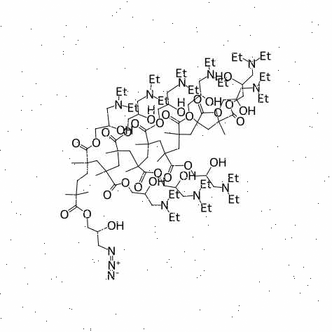 CCN(CC)CC(O)COC(=O)C(C)(C)CC(C)(CC(C)(CC(C)(CC(C)(CC(C)(CC(C)(CC(C)(CC(C)(CCC(C)(C)C(=O)OCC(O)CN=[N+]=[N-])C(=O)OCC(O)CN(CC)CC)C(=O)OCC(O)CN(CC)CC)C(=O)OCC(O)CN(CC)CC)C(=O)OCC(O)CN(CC)CC)C(=O)OCC(O)CN(CC)CC)C(=O)OCC(O)CN(CC)CC)C(=O)OCC(O)CN(CC)CC)C(=O)OCC(O)CN(CC)CC